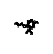 C=CCOc1nnc(C)cc1C(C)C